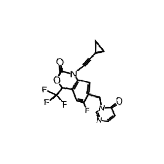 O=C1OC(C(F)(F)F)c2cc(F)c(Cn3cnccc3=O)cc2N1C#CC1CC1